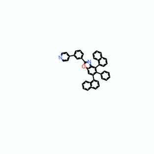 c1ccc(-c2c(-c3cccc4ccccc34)cc3oc(-c4cccc(-c5ccncc5)c4)nc3c2-c2cccc3ccccc23)cc1